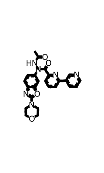 CC(=O)NN(C(=O)c1cccc(-c2cccnc2)n1)c1ccc2nc(N3CCOCC3)oc2c1